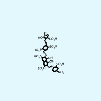 O=C(O)c1n[nH]c(O)c1/N=N/c1cc(S(=O)(=O)O)c(/N=N/c2c(S(=O)(=O)O)cc3cc(S(=O)(=O)O)c(/N=N/c4ccc([N+](=O)[O-])cc4S(=O)(=O)O)c(O)c3c2O)cc1S(=O)(=O)O